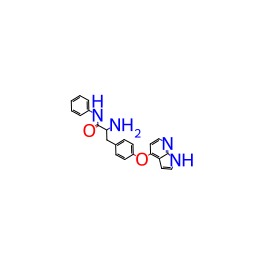 NC(Cc1ccc(Oc2ccnc3[nH]ccc23)cc1)C(=O)Nc1ccccc1